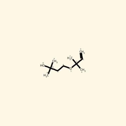 C=CC(C)(C)OCCC(C)(C)O